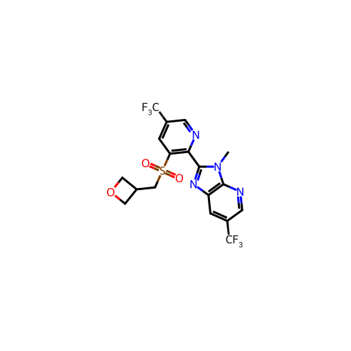 Cn1c(-c2ncc(C(F)(F)F)cc2S(=O)(=O)CC2COC2)nc2cc(C(F)(F)F)cnc21